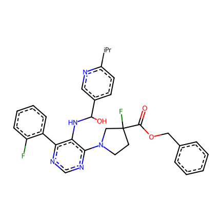 CC(C)c1ccc(C(O)Nc2c(-c3ccccc3F)ncnc2N2CCC(F)(C(=O)OCc3ccccc3)C2)cn1